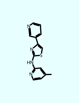 Cc1ccnc(Nc2nc(-c3cccnc3)cs2)c1